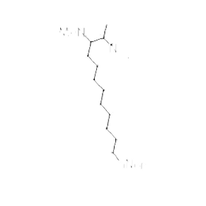 CCCCCCCCCCCCCCCCCCC(NC)C(C)N